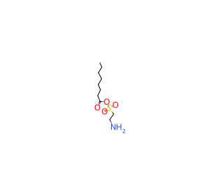 CCCCCCCC(=O)OS(=O)(=O)CCN